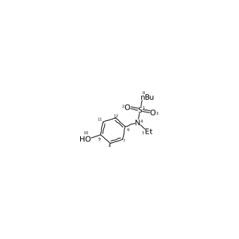 CCCCS(=O)(=O)N(CC)c1ccc(O)cc1